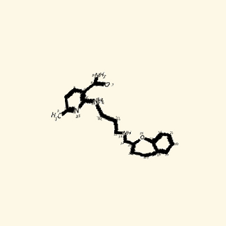 Cc1ccc(C(N)=O)c(NCCCNCC2CCc3ccccc3O2)n1